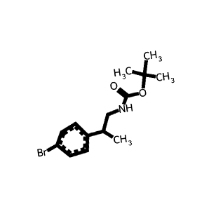 CC(CNC(=O)OC(C)(C)C)c1ccc(Br)cc1